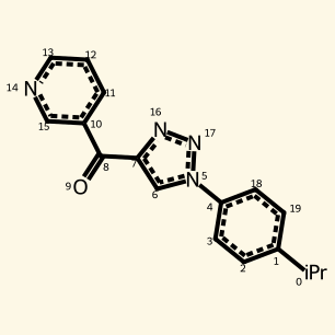 CC(C)c1ccc(-n2cc(C(=O)c3cccnc3)nn2)cc1